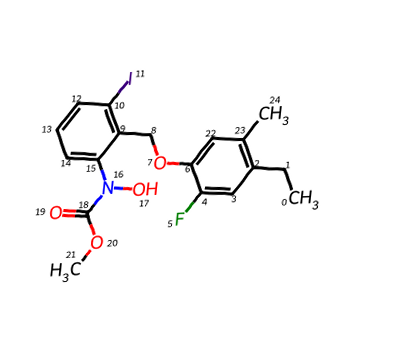 CCc1cc(F)c(OCc2c(I)cccc2N(O)C(=O)OC)cc1C